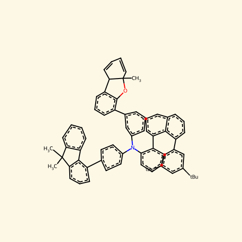 CC(C)(C)c1cc(-c2cccc3cccc(-c4ccccc4N(c4ccc(-c5cccc6c5-c5ccccc5C6(C)C)cc4)c4cccc(-c5cccc6c5OC5(C)C=CC=CC65)c4)c23)cc(C(C)(C)C)c1